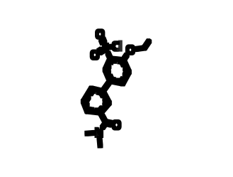 CCOc1ccc(-c2cccc(C(=O)N(C)C)c2)cc1S(=O)(=O)Cl